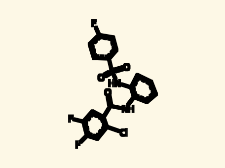 O=C(Nc1ccccc1NS(=O)(=O)c1ccc(F)cc1)c1cc(F)c(F)cc1Cl